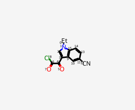 CCn1cc(C(=O)C(=O)Cl)c2cc(C#N)ccc21